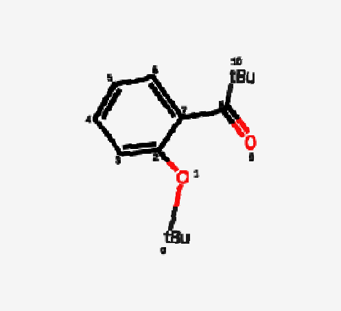 CC(C)(C)Oc1ccccc1C(=O)C(C)(C)C